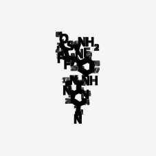 COC[C@]1(C)SC(N)=N[C@](C)(c2cc(Nc3ncnc4cc(C#N)cnc34)ccc2F)C1(F)F